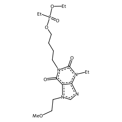 CCOP(=O)(CC)OCCCCn1c(=O)c2c(ncn2CCOC)n(CC)c1=O